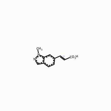 Cn1ncc2ccc(/C=C/C(=O)O)cc21